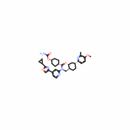 COc1ccc([C@H]2CC[C@H](CN(c3cc(-c4coc(C5CC5)n4)ccn3)C(=O)[C@H]3CC[C@H](OC(N)=O)CC3)CC2)nc1C